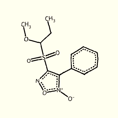 CCC(OC)S(=O)(=O)c1no[n+]([O-])c1-c1ccccc1